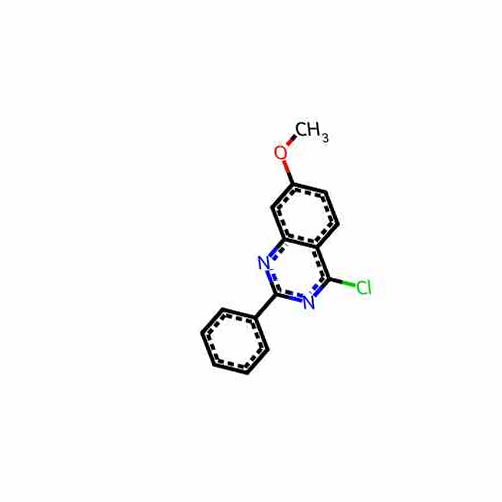 COc1ccc2c(Cl)nc(-c3ccccc3)nc2c1